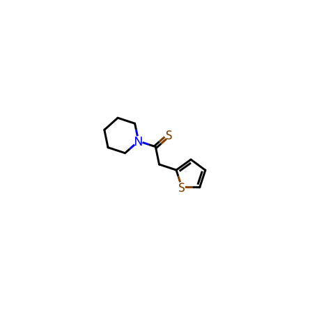 S=C(Cc1cccs1)N1CCCCC1